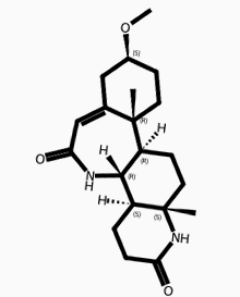 CO[C@H]1CC[C@@]2(C)C(=CC(=O)N[C@@H]3[C@@H]2CC[C@]2(C)NC(=O)CC[C@@H]32)C1